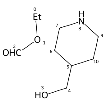 CCOC=O.OCC1CCNCC1